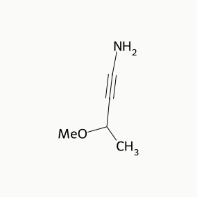 COC(C)C#CN